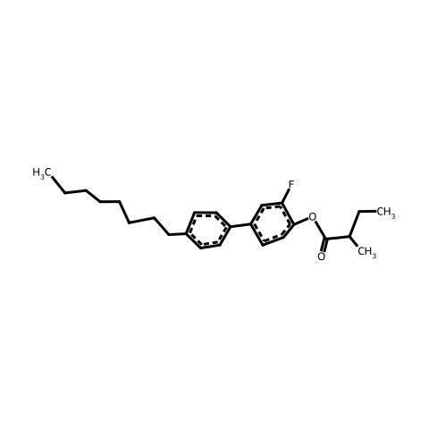 CCCCCCCCc1ccc(-c2ccc(OC(=O)C(C)CC)c(F)c2)cc1